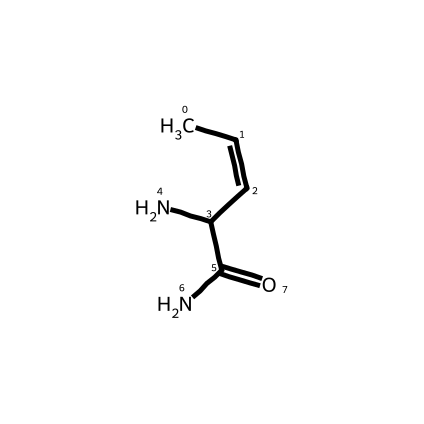 C/C=C\C(N)C(N)=O